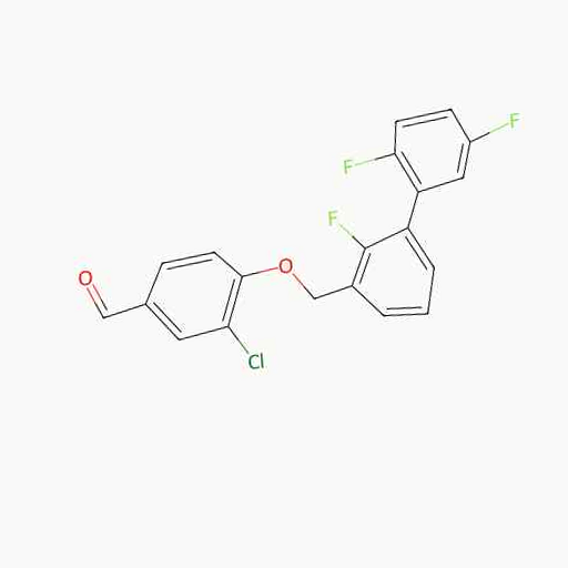 O=Cc1ccc(OCc2cccc(-c3cc(F)ccc3F)c2F)c(Cl)c1